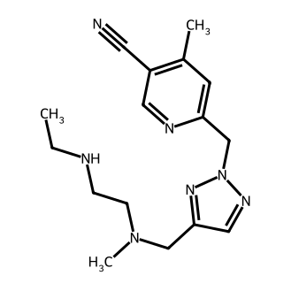 CCNCCN(C)Cc1cnn(Cc2cc(C)c(C#N)cn2)n1